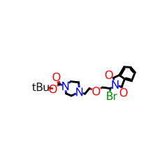 CC(C)(C)OC(=O)N1CCN(CCOCC(Br)N2C(=O)c3ccccc3C2=O)CC1